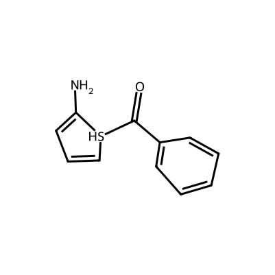 NC1=CC=C[SH]1C(=O)c1ccccc1